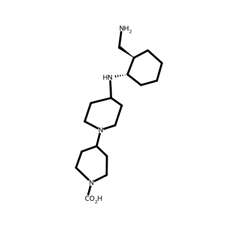 NC[C@H]1CCCC[C@@H]1NC1CCN(C2CCN(C(=O)O)CC2)CC1